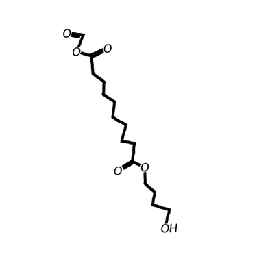 O=COC(=O)CCCCCCCCC(=O)OCCCCO